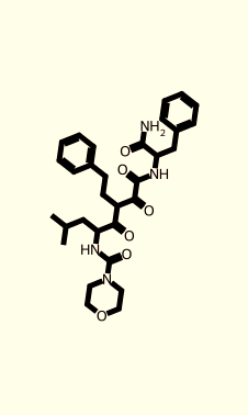 CC(C)CC(NC(=O)N1CCOCC1)C(=O)C(CCc1ccccc1)C(=O)C(=O)NC(Cc1ccccc1)C(N)=O